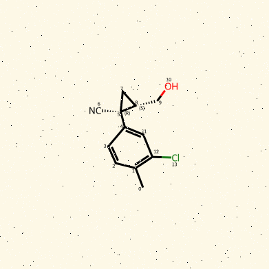 Cc1ccc([C@@]2(C#N)C[C@@H]2CO)cc1Cl